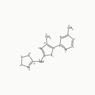 Cc1ccnc(-c2sc(NC3=NCCS3)nc2C)c1